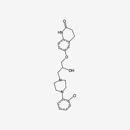 O=C1CCc2cc(OCC(O)CN3CCN(c4ccccc4Cl)CC3)ccc2N1